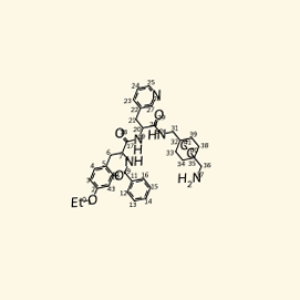 CCOc1ccc(CC(NC(=O)c2ccccc2)C(=O)NC(Cc2cccnc2)C(=O)NCC23CCC(CN)(CC2)CC3)cc1